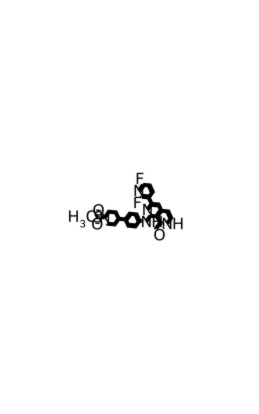 CS(=O)(=O)N1CCC(c2ccc(Nc3nc(-c4ccc(F)nc4F)cc4c3C(C=O)NC=C4)cc2)CC1